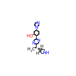 C=C(c1cnc(-c2ccc(-n3ccnc3)cc2O)cn1)[C@@H]1[C@@H]2CNC[C@@H]21